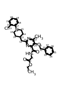 CCOC(=O)CNC(=O)c1nc(CC2CCN(c3ccccc3Cl)CC2)nc(C)c1OCc1ccccc1